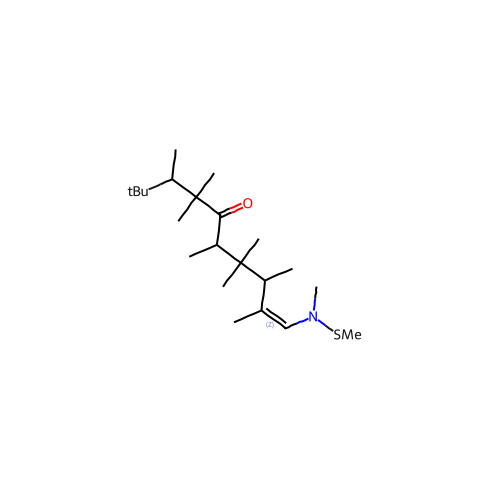 CSN(C)/C=C(/C)C(C)C(C)(C)C(C)C(=O)C(C)(C)C(C)C(C)(C)C